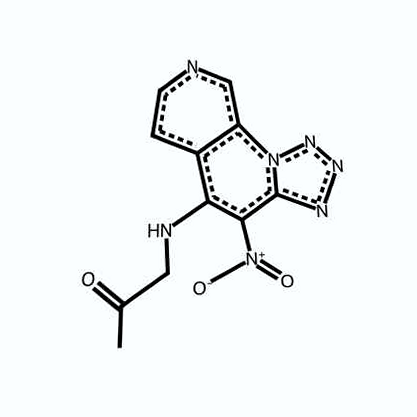 CC(=O)CNc1c([N+](=O)[O-])c2nnnn2c2cnccc12